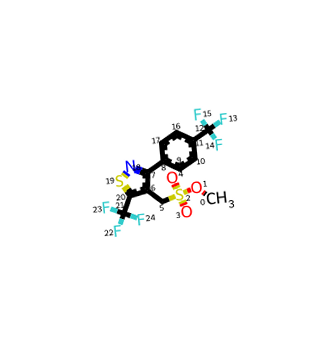 COS(=O)(=O)Cc1c(-c2ccc(C(F)(F)F)cc2)nsc1C(F)(F)F